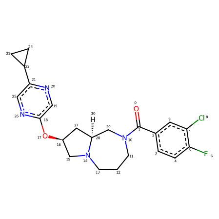 O=C(c1ccc(F)c(Cl)c1)N1CCCN2C[C@@H](Oc3cnc(C4CC4)cn3)C[C@H]2C1